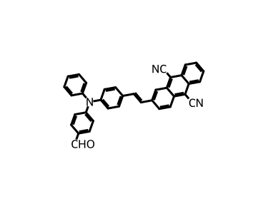 N#Cc1c2ccccc2c(C#N)c2cc(C=Cc3ccc(N(c4ccccc4)c4ccc(C=O)cc4)cc3)ccc12